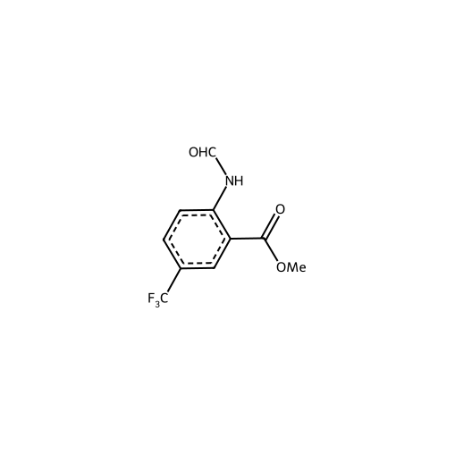 COC(=O)c1cc(C(F)(F)F)ccc1NC=O